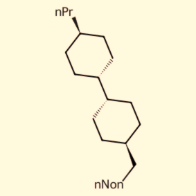 CCCCCCCCCC[C@H]1CC[C@H]([C@H]2CC[C@H](CCC)CC2)CC1